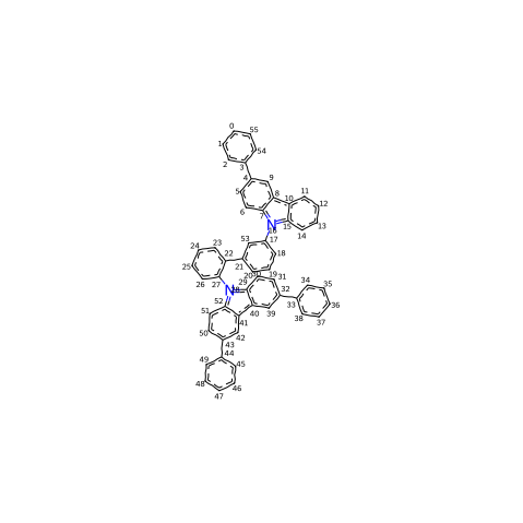 c1ccc(-c2ccc3c(c2)c2ccccc2n3-c2cccc(-c3ccccc3-n3c4ccc(-c5ccccc5)cc4c4cc(-c5ccccc5)ccc43)c2)cc1